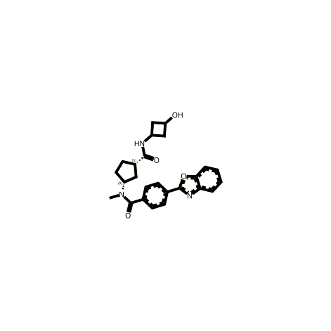 CN(C(=O)c1ccc(-c2nc3ccccc3o2)cc1)[C@@H]1CC[C@H](C(=O)NC2CC(O)C2)C1